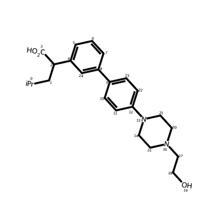 CC(C)CC(C(=O)O)c1cccc(-c2ccc(N3CCN(CCO)CC3)cc2)c1